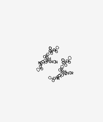 Cc1cc(C[C@@H](NC(=O)N2CCC(c3cc4ccccc4n(COC(=O)C4CCCCC4)c3=O)CC2)C(=O)N2CCN(C3CCN(C)CC3)CC2)cc2cn(COC(=O)C3CCCCC3)nc12.Cc1cc(C[C@@H](NC(=O)N2CCC(c3cc4ccccc4n(COC(=O)C4CCCCC4)c3=O)CC2)C(=O)N2CCN(C3CCN(C)CC3)CC2)cc2cnn(COC(=O)C3CCCCC3)c12